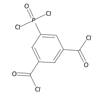 O=C(Cl)c1cc(C(=O)Cl)cc(P(=O)(Cl)Cl)c1